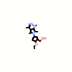 CCOc1ccc(-n2c(C)c3c(c2C)N(C)NC=C3C)cc1CO